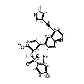 COc1ncc(-c2ccc3nccc(C#Cc4cn[nH]c4)c3c2)cc1NS(=O)(=O)c1ccc(F)cc1F